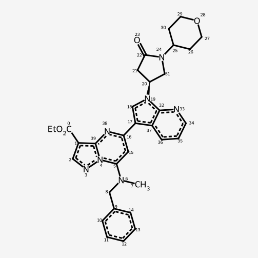 CCOC(=O)c1cnn2c(N(C)Cc3ccccc3)cc(-c3cn([C@H]4CC(=O)N(C5CCOCC5)C4)c4ncccc34)nc12